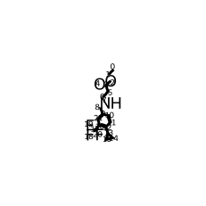 CCOC(=O)CCNCc1ccc(C2CC2)c(C(F)(F)F)c1